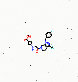 O=C(O)C1CC(NCC(=O)N2CCc3c(C(F)(F)F)nn(Cc4ccc(F)cc4)c3C2)C1